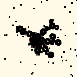 [CH2]C(c1ccc2c(C)nccc2n1)(N1CCN(c2ccc3c(C)nccc3n2)CC1)N(CC(N1CCC(OCc2cc(OC)cc(OC)c2)CC1)N(CC(N1CCC(OC(c2ccccc2)c2ccccc2)CC1)N(CCN1CCC(Cc2ccccc2)CC1)C(=O)Nc1ccc2c(C)nccc2n1)c1ccc2c(C)nccc2n1)c1ccc2c(C)nccc2n1